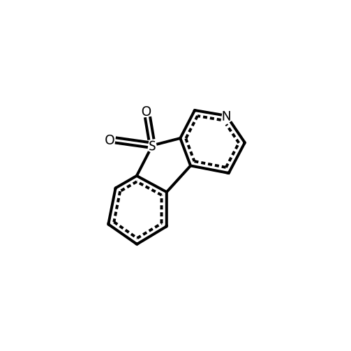 O=S1(=O)c2ccccc2-c2ccncc21